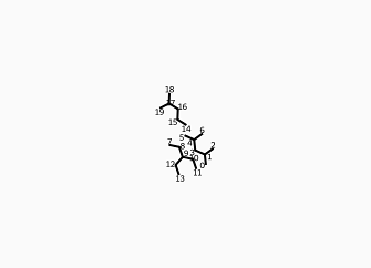 CC(C)CC(C)C.CCC(CC)CC.CCCC(C)C